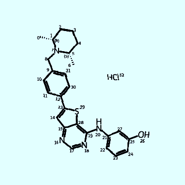 C[C@@H]1CCC[C@H](C)N1Cc1ccc(-c2cc3ncnc(Nc4cccc(O)c4)c3s2)cc1.Cl